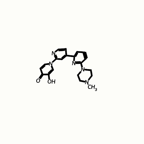 CN1CCN(c2c#ccc(-c3ccnc(-n4ccc(=O)c(O)c4)c3)n2)CC1